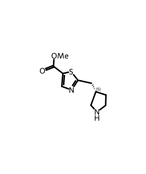 COC(=O)c1cnc(C[C@@H]2CCNC2)s1